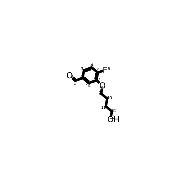 O=Cc1ccc(F)c(OCCCCO)c1